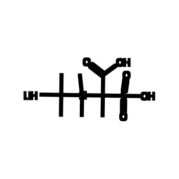 CC(C)(C)[Si](C)(C)C(C)(C(=O)O)S(=O)(=O)O.[LiH]